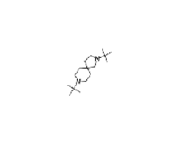 CC(C)(C)N1CCC2(CC1)CCN(C(C)(C)C)C2